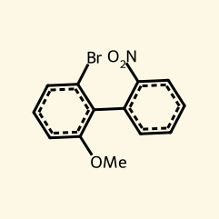 COc1cccc(Br)c1-c1ccccc1[N+](=O)[O-]